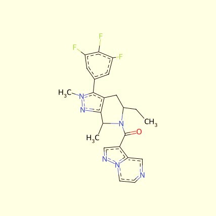 CCC1Cc2c(nn(C)c2-c2cc(F)c(F)c(F)c2)C(C)N1C(=O)c1cnn2ccncc12